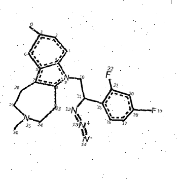 Cc1ccc2c(c1)c1c(n2CC(N=[N+]=[N-])c2ccc(F)cc2F)CCN(C)CC1